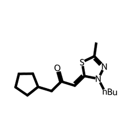 CCCCN1N=C(C)SC1=CC(=O)CC1CCCC1